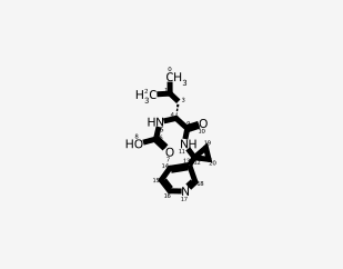 CC(C)C[C@@H](NC(=O)O)C(=O)NC1(c2cccnc2)CC1